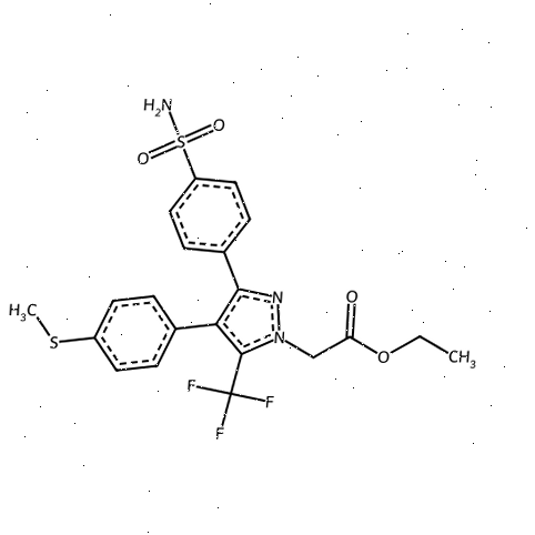 CCOC(=O)Cn1nc(-c2ccc(S(N)(=O)=O)cc2)c(-c2ccc(SC)cc2)c1C(F)(F)F